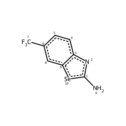 Nc1nc2ccc(C(F)(F)F)cc2[se]1